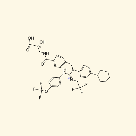 O=C(NC[C@@H](O)C(=O)O)c1ccc(CN(/C(=N\CC(F)(F)F)Nc2ccc(OC(F)(F)F)cc2)c2ccc(C3CCCCC3)cc2)cc1